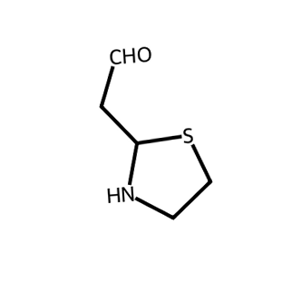 O=CCC1NCCS1